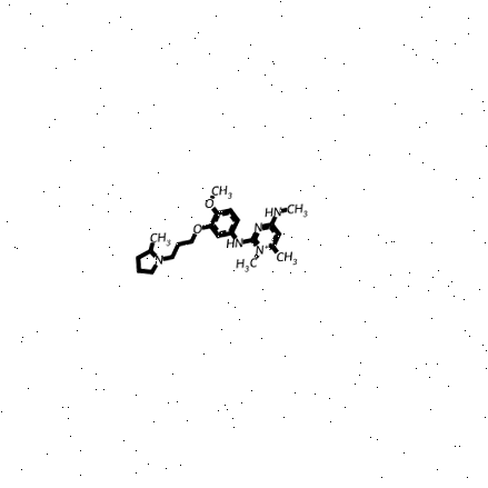 CNc1cc(C)[n+](C)c(Nc2ccc(OC)c(OCCCN3CCCC3C)c2)n1